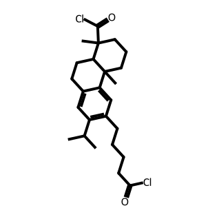 CC(C)c1cc2c(cc1CCCCC(=O)Cl)C1(C)CCCC(C)(C(=O)Cl)C1CC2